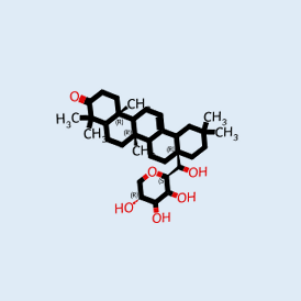 CC1(C)CC[C@]2(C(O)[C@@H]3OC[C@@H](O)C(O)C3O)CCC3C(=CCC4[C@@]3(C)CCC3C(C)(C)C(=O)CC[C@@]34C)C2C1